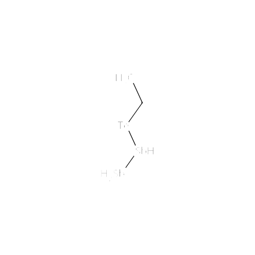 CC[Te][SbH][SbH2]